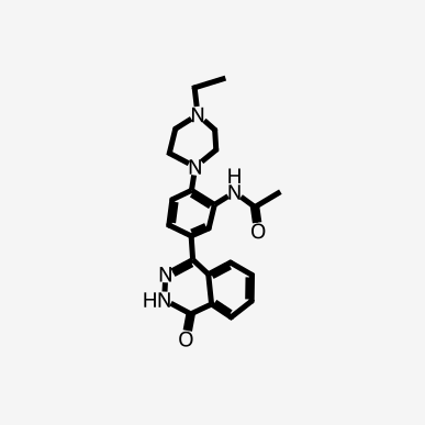 CCN1CCN(c2ccc(-c3n[nH]c(=O)c4ccccc34)cc2NC(C)=O)CC1